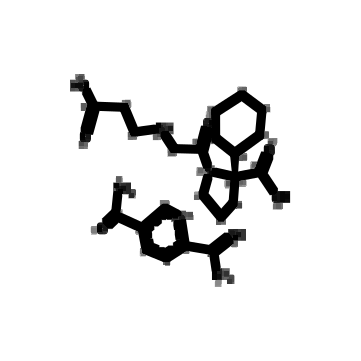 N=C(N)c1ccc(C(N)=O)cn1.O=C(O)CCNCC(=O)N1CCC[C@]1(C(=O)O)C1CCCCC1